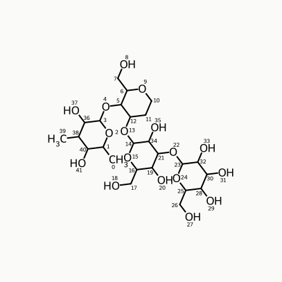 CC1OC(OC2C(CO)OCCC2OC2OC(CO)C(O)C(OC3OC(CO)C(O)C(O)C3O)C2O)C(O)C(C)C1O